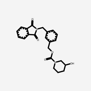 O=C(OCc1cccc(CN2C(=O)c3ccccc3C2=O)c1)N1CCCC(O)C1